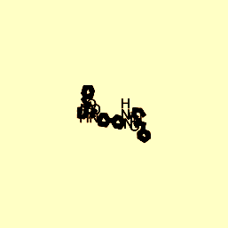 O=C(Nc1ccc(-c2ccc3nc([C@@H]4CCCN4C(=O)Cc4ccccc4)[nH]c3c2)cc1)[C@@H]1CCCN1C(=O)Cc1ccccc1